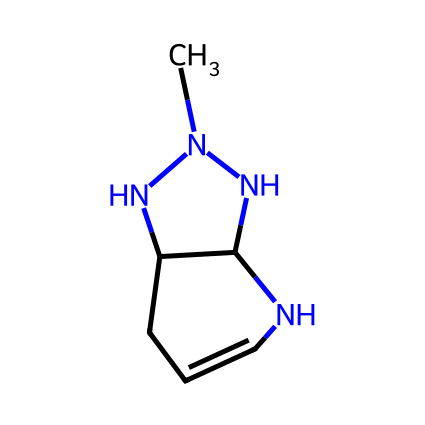 CN1NC2CC=CNC2N1